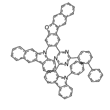 c1ccc(-c2cccc(-c3nc(-c4cc5c(cc4-n4c6ccccc6c6cc7ccccc7cc64)oc4cc6ccccc6cc45)nc(-c4cccc5c6ccccc6n(-c6ccccc6)c45)n3)c2)cc1